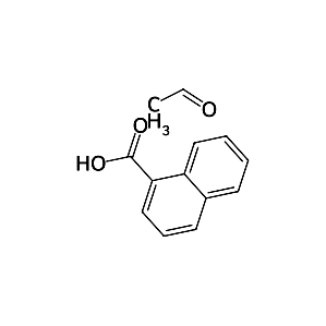 CC=O.O=C(O)c1cccc2ccccc12